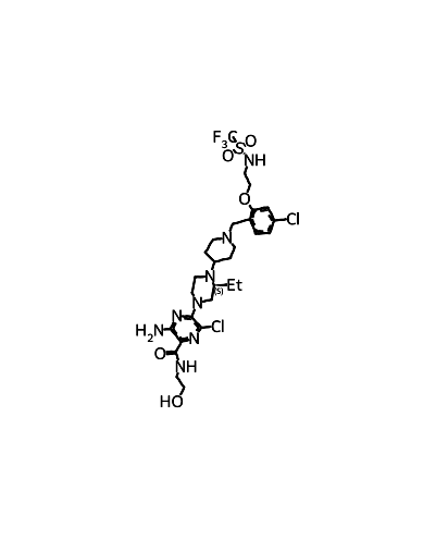 CC[C@H]1CN(c2nc(N)c(C(=O)NCCO)nc2Cl)CCN1C1CCN(Cc2ccc(Cl)cc2OCCNS(=O)(=O)C(F)(F)F)CC1